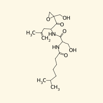 C=C(C)CC(NC(=O)C(CO)NC(=O)CCCCC(C)C)C(=O)C1(CO)CO1